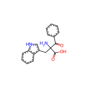 NC(Cc1c[nH]c2ccccc12)(C(=O)O)C(=O)c1ccccc1